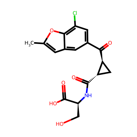 Cc1cc2cc(C(=O)[C@H]3C[C@@H]3C(=O)N[C@@H](CO)C(=O)O)cc(Cl)c2o1